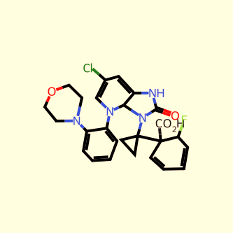 O=C1NC2=CC(Cl)=CN(c3ccccc3N3CCOCC3)C2N1C1(C2(C(=O)O)C=CC=CC2F)CC1